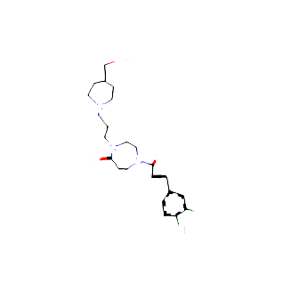 O=C(C=Cc1ccc(Cl)c(Cl)c1)N1CCC(=O)N(CCCN2CCC(CO)CC2)CC1